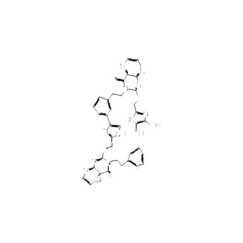 Cc1nc(CSc2nc3nccnc3c(=O)n2CCc2cccc(-c3c[nH]c(CSc4nc5nccnc5c(=O)n4CCc4ccccc4)n3)c2)[nH]c1C